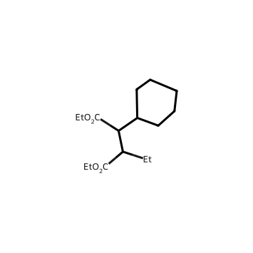 CCOC(=O)C(CC)C(C(=O)OCC)C1CCCCC1